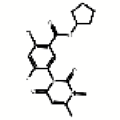 Cc1cc(=O)n(-c2cc(C(=O)OC3CCCC3)c(Cl)cc2F)c(=O)n1C